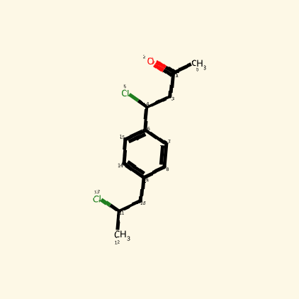 CC(=O)CC(Cl)c1ccc(CC(C)Cl)cc1